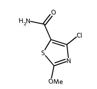 COc1nc(Cl)c(C(N)=O)s1